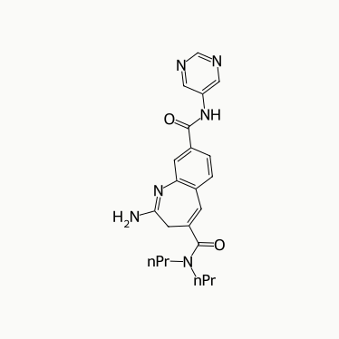 CCCN(CCC)C(=O)C1=Cc2ccc(C(=O)Nc3cncnc3)cc2N=C(N)C1